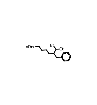 CCCCCCCCCCCCCCC(Cc1ccccc1)[C](CC)CC